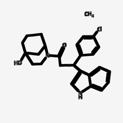 C.O=C(CC(c1ccc(Cl)cc1)c1c[nH]c2ccccc12)N1CCC2(O)CCCC1C2